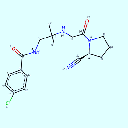 CC(C)(CNC(=O)c1ccc(Cl)cc1)NCC(=O)N1CCC[C@H]1C#N